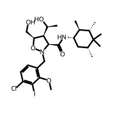 COc1c(CN2O[C@@H](CO)[C@@H]([C@H](C)O)[C@H]2C(=O)N[C@H]2C[C@@H](C)C(C)(C)[C@@H](C)[C@@H]2C)ccc(Cl)c1I